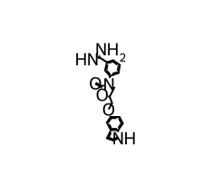 N=C(N)c1cccc(N2CC(COc3ccc4[nH]ccc4c3)OC2=O)c1